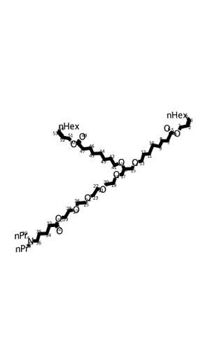 CCCCCC/C=C\COC(=O)CCCCCCCOCC(COCCOCCOCCOCCOC(=O)CCCCN(CCC)CCC)OCCCCCCCC(=O)OC/C=C\CCCCCC